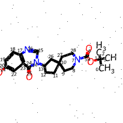 CC(C)(C)OC(=O)N1CCC2(CCC(n3cnc4ccc(O)cc4c3=O)C2)CC1